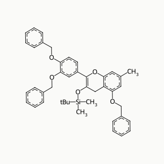 Cc1cc(OCc2ccccc2)c2c(c1)OC(c1ccc(OCc3ccccc3)c(OCc3ccccc3)c1)=C(O[Si](C)(C)C(C)(C)C)C2